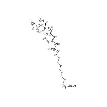 CCCCCCCC/C=C\CCCCCCCCOC(=O)Nc1ccn([C@@H]2O[C@H](CO)[C@H](O)C2(F)F)c(=O)n1